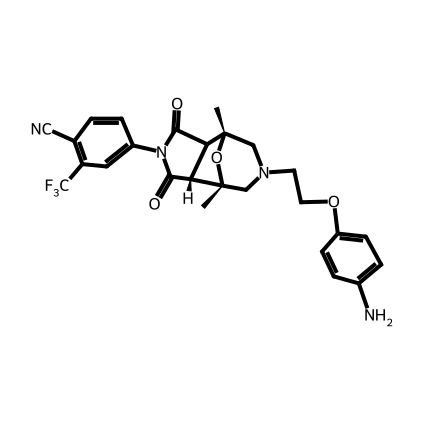 C[C@]12CN(CCOc3ccc(N)cc3)C[C@](C)(O1)C1C(=O)N(c3ccc(C#N)c(C(F)(F)F)c3)C(=O)[C@H]12